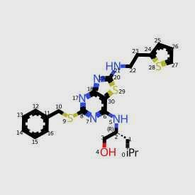 CC(C)C[C@H](CO)Nc1nc(SCc2ccccc2)nc2nc(NCCc3cccs3)sc12